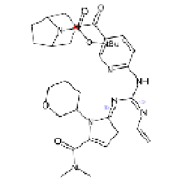 C=C/N=C(\N=C1/CC=C(C(=O)N(C)C)N1C1CCCOC1)Nc1ccc(C(=O)N2CC3CCC(C2)N3C(=O)OC(C)(C)C)cn1